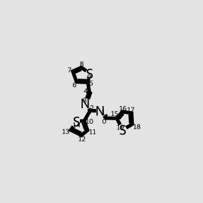 C(=NC(N=Cc1cccs1)c1cccs1)c1cccs1